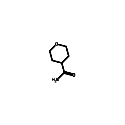 BC(=O)C1CCOCC1